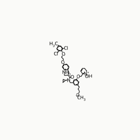 COCCCc1cc(CN(C(=O)C(CN)Cc2ccc(OCCOc3c(Cl)cc(C)cc3Cl)cc2)C2CC2)cc(OCC2=[N+](O)CCC=C2)c1